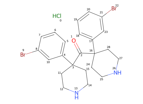 Cl.O=C(C1(c2cccc(Br)c2)CCNCC1)C1(c2cccc(Br)c2)CCNCC1